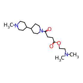 CN(C)CCOC(=O)CCC(=O)N1CCC(C2CCN(C)CC2)CC1